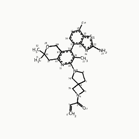 C=CC(=O)N1CC2(CCN(c3nc4c(c(-c5ccc(F)c6sc(N)nc56)c3C)COC(C)(C)C4)C2)C1